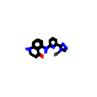 CC(C)n1cnnc1-c1cccc(Nc2cccc3c2C(=O)CCN3)n1